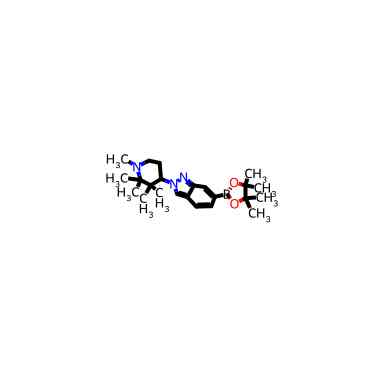 CN1CCC(n2cc3ccc(B4OC(C)(C)C(C)(C)O4)cc3n2)C(C)(C)C1(C)C